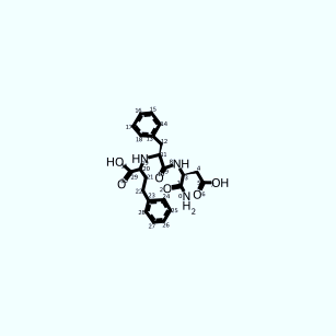 NC(=O)[C@H](CC(=O)O)NC(=O)[C@H](Cc1ccccc1)NC(CCc1ccccc1)C(=O)O